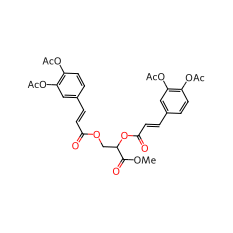 COC(=O)C(COC(=O)C=Cc1ccc(OC(C)=O)c(OC(C)=O)c1)OC(=O)C=Cc1ccc(OC(C)=O)c(OC(C)=O)c1